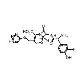 NC(C(=O)NC1C(=O)N2C(C(=O)O)=C(CSc3c[nH]nn3)CS[C@@H]12)c1ccc(O)c(F)c1